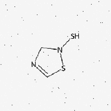 SN1CN=CS1